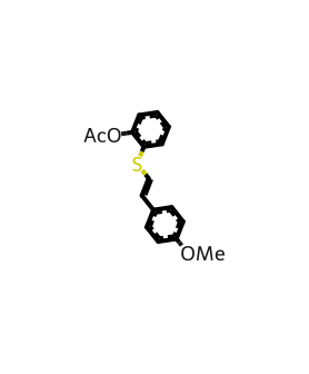 COc1ccc(C=CSc2ccccc2OC(C)=O)cc1